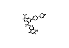 C=C1NC(C)=CC(C)=C1CNC(=O)c1cc(N2CCC(N3CCN(C)CC3)CC2)nc2c1cnn2C(C)C